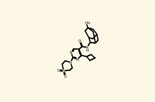 O=C(NC1C2CC3CC1CC(O)(C3)C2)c1cnc(N2CCS(=O)(=O)CC2)nc1C1CCC1